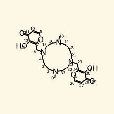 CN1CCCN(Cc2occc(=O)c2O)CCN(C)CCCN(Cc2occc(=O)c2O)CC1